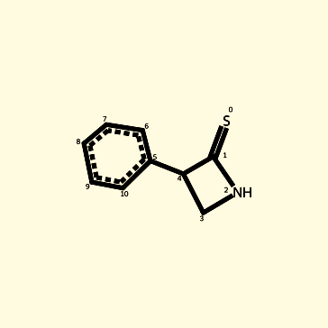 S=C1NCC1c1ccccc1